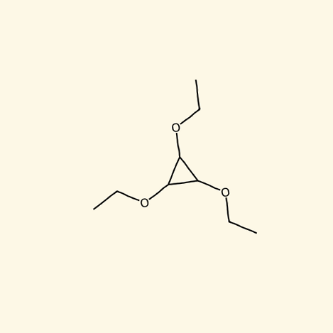 CCOC1C(OCC)C1OCC